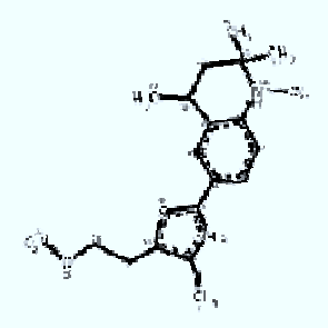 Cc1nc(-c2ccc3c(c2)C(C)CC(C)(C)[NH+]3[O-])sc1CCO[N+](=O)[O-]